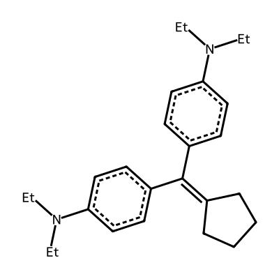 CCN(CC)c1ccc(C(=C2CCCC2)c2ccc(N(CC)CC)cc2)cc1